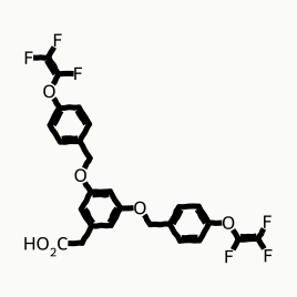 O=C(O)Cc1cc(OCc2ccc(OC(F)=C(F)F)cc2)cc(OCc2ccc(OC(F)=C(F)F)cc2)c1